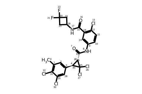 Cc1cc([C@H]2[C@H](C(=O)Nc3ccc(Cl)c(C(=O)NC4CC(F)(F)C4)c3)C2(Cl)Cl)cc(Cl)c1Cl